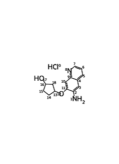 Cl.Nc1cc2cccnc2cc1OC1CCC(O)C1